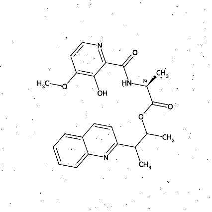 COc1ccnc(C(=O)N[C@@H](C)C(=O)OC(C)C(C)c2ccc3ccccc3n2)c1O